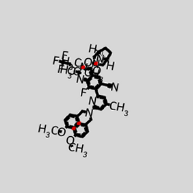 COc1ccc(CN(Cc2ccc(OC)cc2)c2cc(C)cc(-c3c(C#N)cc4c(N5C[C@H]6CC[C@@H](C5)N6C(=O)OC(C)(C)C)nc(OCC(F)(F)F)nc4c3F)n2)cc1